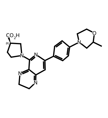 CC1CN(c2ccc(-c3cc4c(c(N5CC[C@@H](C(=O)O)C5)n3)=NCCN=4)cc2)CCO1